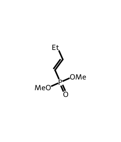 CCC=CP(=O)(OC)OC